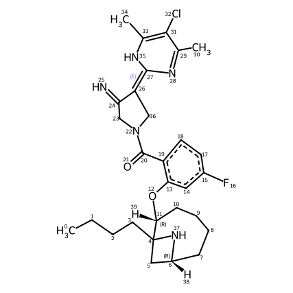 CCCCC12C[C@@H](CCCC[C@H]1Oc1cc(F)ccc1C(=O)N1CC(=N)/C(=C3/N=C(C)C(Cl)=C(C)N3)C1)N2